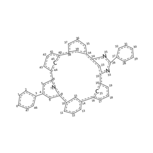 c1ccc(-c2cc3nc(c2)c2cccc(c2)c2cccc(c2)c2cc(nc(-c4ccccc4)n2)c2cccc(c2)c2cccc3c2)cc1